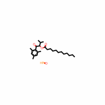 CCCCCCCCCCCC(=O)OC(C(=O)c1c(C)cc(C)cc1C)C(C)C.O=P